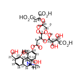 C[C@H](OC(=O)[C@H](CC(=O)OC1=CC[C@@]2(O)[C@H]3Cc4ccc(CO)c5c4[C@@]2(CCN3C)[C@H]1O5)OC(=O)[C@H](O)[C@@H](O)C(=O)O)C(=O)O[C@H](CC(=O)O)C(=O)O